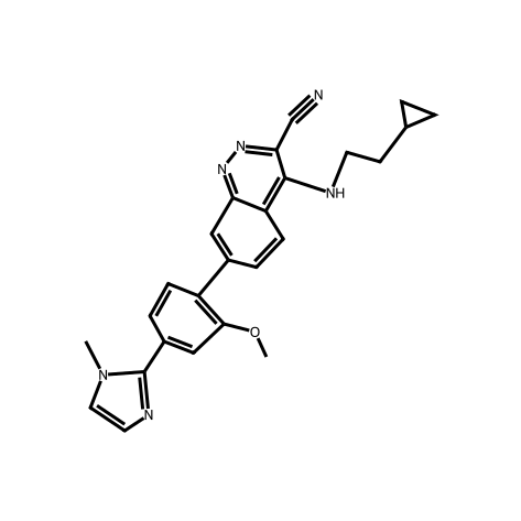 COc1cc(-c2nccn2C)ccc1-c1ccc2c(NCCC3CC3)c(C#N)nnc2c1